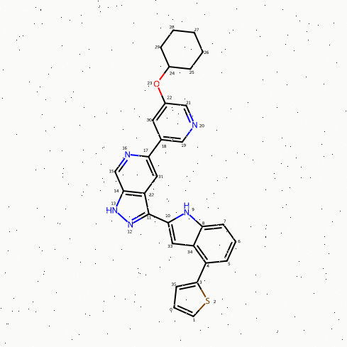 c1csc(-c2cccc3[nH]c(-c4n[nH]c5cnc(-c6cncc(OC7CCCCC7)c6)cc45)cc23)c1